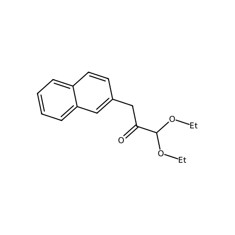 CCOC(OCC)C(=O)Cc1ccc2ccccc2c1